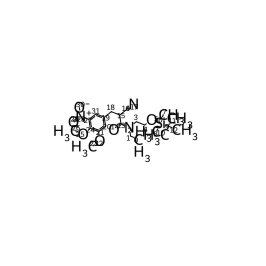 CCN(CCO[Si](C)(C)C(C)(C)C)C(=O)C(C#N)Cc1cc(OC)c(OC)c([N+](=O)[O-])c1